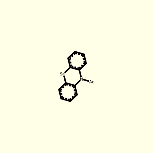 CC(=O)N1c2ccccc2[Se]c2ccccc21